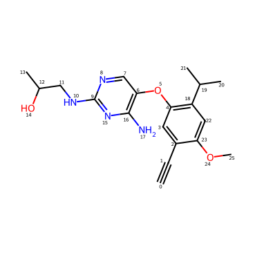 C#Cc1cc(Oc2cnc(NCC(C)O)nc2N)c(C(C)C)cc1OC